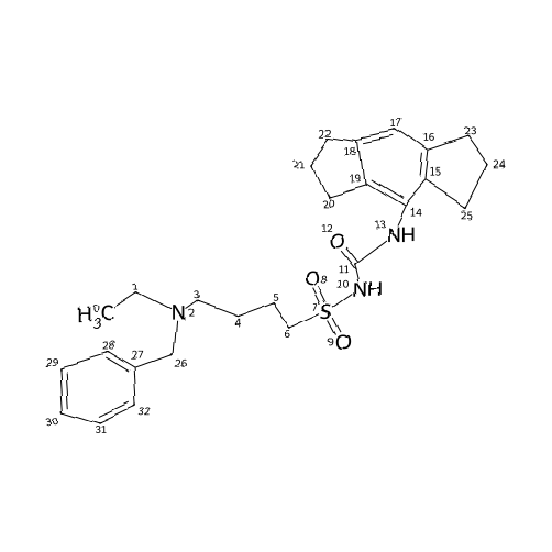 CCN(CCCCS(=O)(=O)NC(=O)Nc1c2c(cc3c1CCC3)CCC2)Cc1ccccc1